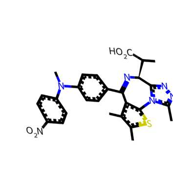 Cc1sc2c(c1C)C(c1ccc(N(C)c3ccc([N+](=O)[O-])cc3)cc1)=N[C@@H](C(C)C(=O)O)c1nnc(C)n1-2